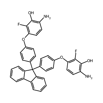 Nc1ccc(Oc2ccc(C3(c4ccc(Oc5ccc(N)c(O)c5F)cc4)c4ccccc4-c4ccccc43)cc2)c(F)c1O